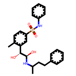 Cc1ccc(S(=O)(=O)Nc2ccccc2)cc1[C@@H](O)[C@@H](O)NC(C)CCc1ccccc1